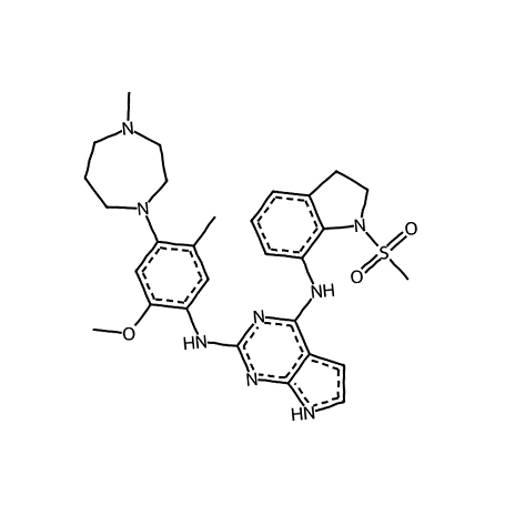 COc1cc(N2CCCN(C)CC2)c(C)cc1Nc1nc(Nc2cccc3c2N(S(C)(=O)=O)CC3)c2cc[nH]c2n1